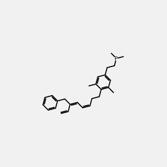 C=C/C(=C\C=C/CCc1c(C)cc(CCP(C)C)cc1C)Cc1ccccc1